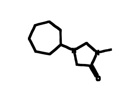 CN1CN(C2CCCCCC2)CC1=O